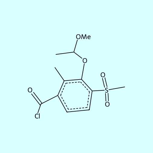 COC(C)Oc1c(S(C)(=O)=O)ccc(C(=O)Cl)c1C